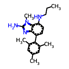 CCCNc1ccc(-c2c(C)cc(C)cc2C)c2nc(N)n(C)c12